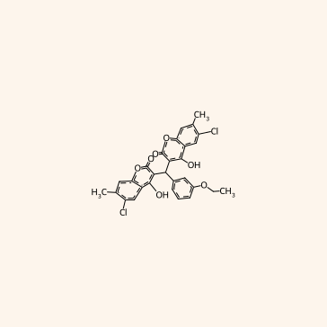 CCOc1cccc(C(c2c(O)c3cc(Cl)c(C)cc3oc2=O)c2c(O)c3cc(Cl)c(C)cc3oc2=O)c1